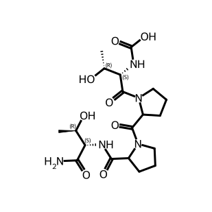 C[C@@H](O)[C@H](NC(=O)C1CCCN1C(=O)C1CCCN1C(=O)[C@@H](NC(=O)O)[C@@H](C)O)C(N)=O